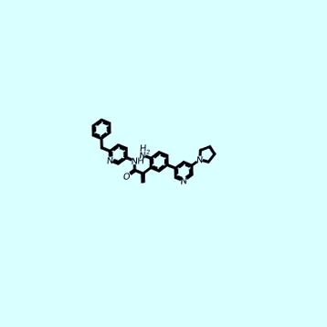 C=C(C(=O)Nc1ccc(Cc2ccccc2)nc1)c1cc(-c2cncc(N3CCCC3)c2)ccc1N